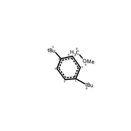 CC(C)(C)c1ccc(C(C)(C)C)cc1.COC